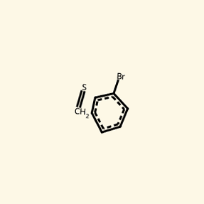 Brc1ccccc1.C=S